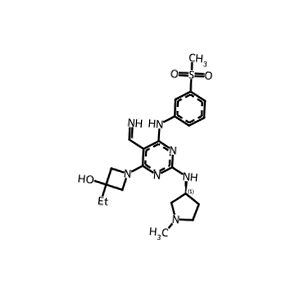 CCC1(O)CN(c2nc(N[C@H]3CCN(C)C3)nc(Nc3cccc(S(C)(=O)=O)c3)c2C=N)C1